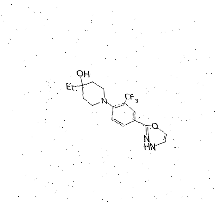 CCC1(O)CCN(c2ccc(C3=NNC=CO3)cc2C(F)(F)F)CC1